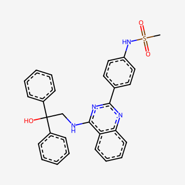 CS(=O)(=O)Nc1ccc(-c2nc(NCC(O)(c3ccccc3)c3ccccc3)c3ccccc3n2)cc1